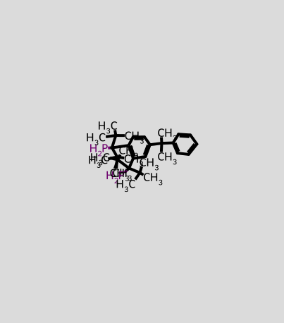 CC(C)(c1ccccc1)c1ccc(C(P)(C(C)(C)C)C(C)(C)C)c(C(P)(C(C)(C)C)C(C)(C)C)c1